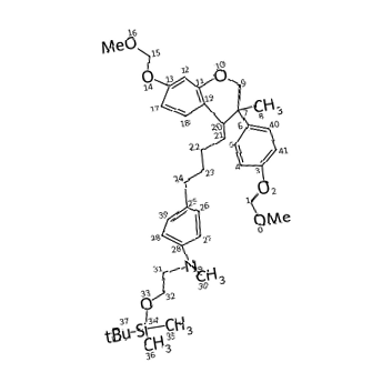 COCOc1ccc(C2(C)COc3cc(OCOC)ccc3C2CCCCc2ccc(N(C)CCO[Si](C)(C)C(C)(C)C)cc2)cc1